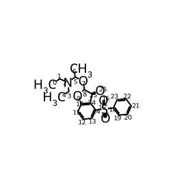 CCN(CC)C(C)OC1Oc2cccc(S(=O)(=O)c3ccccc3)c2C1=O